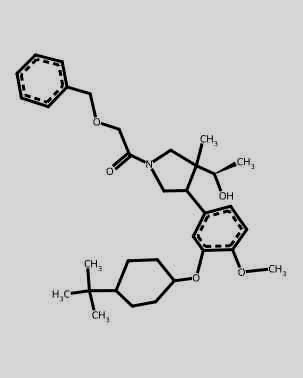 COc1ccc(C2CN(C(=O)COCc3ccccc3)CC2(C)[C@@H](C)O)cc1OC1CCC(C(C)(C)C)CC1